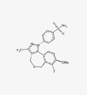 COc1ccc2c(c1F)CSCc1c(C(F)(F)F)nn(-c3ccc(S(N)(=O)=O)cc3)c1-2